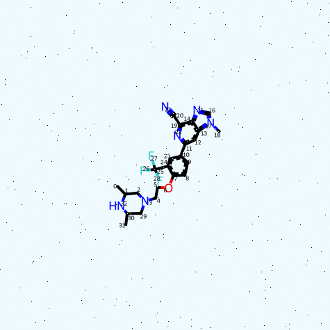 CC1CN(CCOc2ccc(-c3cc4c(ncn4C)c(C#N)n3)cc2C(F)(F)F)CC(C)N1